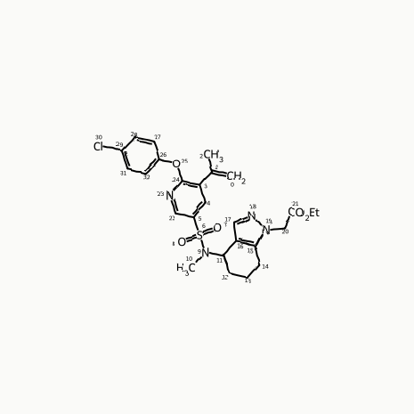 C=C(C)c1cc(S(=O)(=O)N(C)C2CCCc3c2cnn3CC(=O)OCC)cnc1Oc1ccc(Cl)cc1